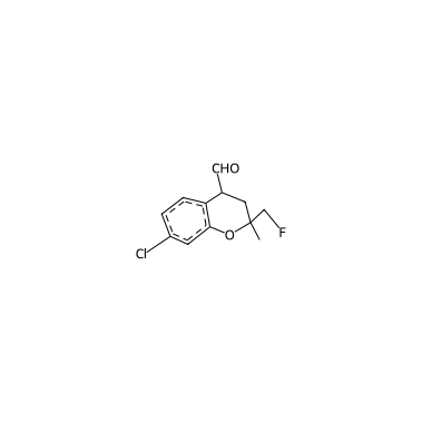 CC1(CF)CC(C=O)c2ccc(Cl)cc2O1